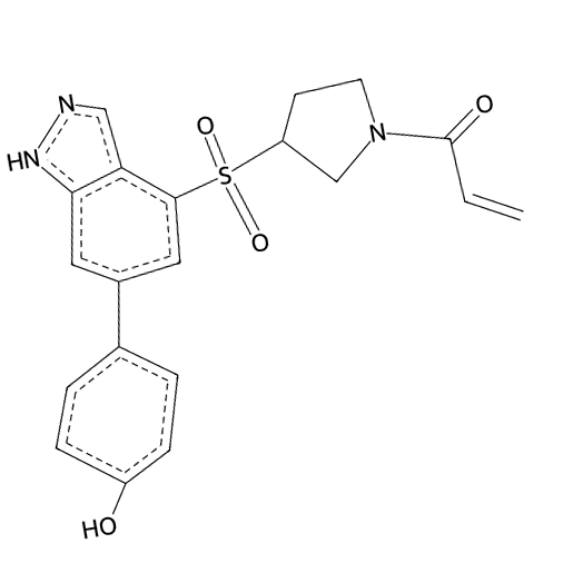 C=CC(=O)N1CCC(S(=O)(=O)c2cc(-c3ccc(O)cc3)cc3[nH]ncc23)C1